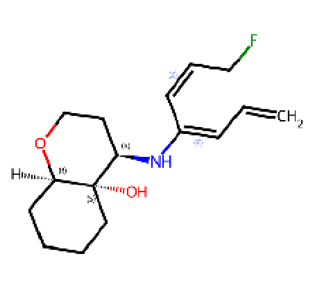 C=C/C=C(\C=C/CF)N[C@@H]1CCO[C@@H]2CCCC[C@]12O